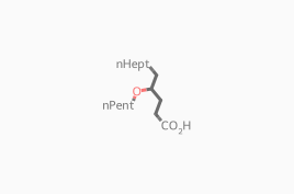 CCCCCCCCC(CCC(=O)O)OCCCCC